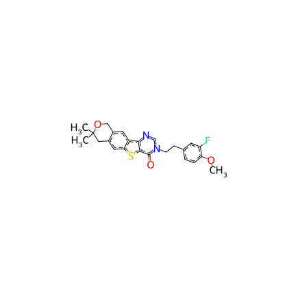 COc1ccc(CCn2cnc3c(sc4cc5c(cc43)COC(C)(C)C5)c2=O)cc1F